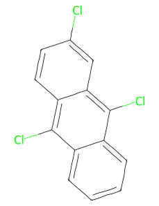 Clc1ccc2c(Cl)c3ccccc3c(Cl)c2c1